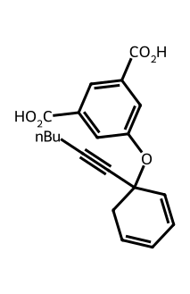 CCCCC#CC1(Oc2cc(C(=O)O)cc(C(=O)O)c2)C=CC=CC1